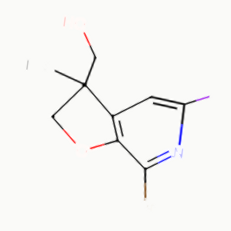 CC1(CO)COc2c1cc(I)nc2Br